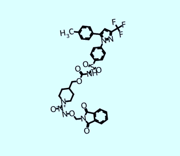 Cc1ccc(-c2cc(C(F)(F)F)nn2-c2ccc(S(=O)(=O)NC(=O)OCC3CCN(/[N+]([O-])=N\OCN4C(=O)c5ccccc5C4=O)CC3)cc2)cc1